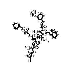 CC(C)C[C@H](N)[C@H](CC(=O)OCc1ccccc1)OC(=O)[C@@H](N)Cc1ccccc1.Cl.Cl.N[C@@H](CCCCNC(=O)OCc1ccccc1)C(=O)OC(=O)[C@@H](N)Cc1c[nH]cn1